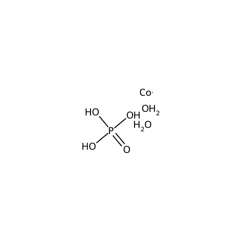 O.O.O=P(O)(O)O.[Co]